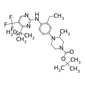 CCc1cc(N2CCN(C(=O)OC(C)(C)C)C[C@@H]2C)ccc1Nc1ncc(C(F)(F)F)[c]([Sn]([CH3])([CH3])[CH3])n1